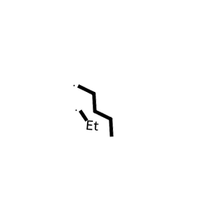 [CH2]CC.[CH2]CCCC